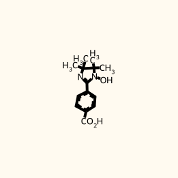 CC1(C)N=C(c2ccc(C(=O)O)cc2)N(O)C1(C)C